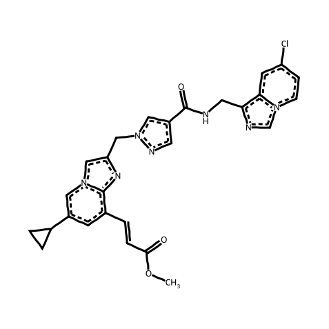 COC(=O)/C=C/c1cc(C2CC2)cn2cc(Cn3cc(C(=O)NCc4ncn5ccc(Cl)cc45)cn3)nc12